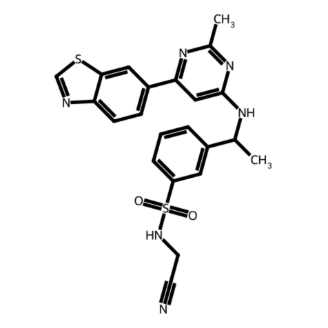 Cc1nc(NC(C)c2cccc(S(=O)(=O)NCC#N)c2)cc(-c2ccc3ncsc3c2)n1